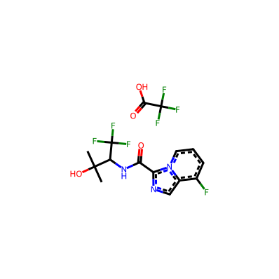 CC(C)(O)C(NC(=O)c1ncc2c(F)cccn12)C(F)(F)F.O=C(O)C(F)(F)F